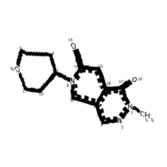 Cn1ncc2cn(C3CCOCC3)c(=O)cc2c1=O